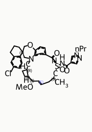 CCCn1cc(C(=O)NS2(=O)=NC(=O)c3ccc4c(c3)N(C[C@@H]3CC[C@H]3[C@@H](OC)/C=C/C[C@H](C)C2)C[C@@]2(CCCc3cc(Cl)ccc32)CO4)cn1